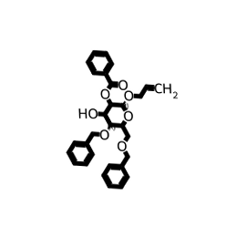 C=CCO[C@@H]1OC(COCc2ccccc2)[C@H](OCc2ccccc2)C(O)C1OC(=O)c1ccccc1